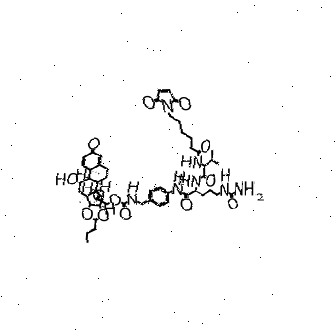 CCCC1O[C@@H]2C[C@H]3[C@@H]4CCC5=CC(=O)C=C[C@]5(C)[C@H]4[C@@H](O)C[C@]3(C)[C@]2(C(=O)COC(=O)NCc2ccc(NC(=O)[C@H](CCCNC(N)=O)NC(=O)C(NC(=O)CCCCCN3C(=O)C=CC3=O)C(C)C)cc2)O1